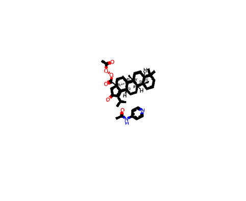 CC(=O)Nc1ccncc1.CC(=O)OOC(=O)[C@@]12CC[C@]3(C)[C@H](CC[C@@H]4[C@@]5(C)CCCC(C)(C)[C@@H]5CC[C@]43C)C1=C(C(C)C)C(=O)C2